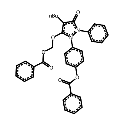 CCCCc1c(OCOC(=O)c2ccccc2)n(-c2ccc(OC(=O)c3ccccc3)cc2)n(-c2ccccc2)c1=O